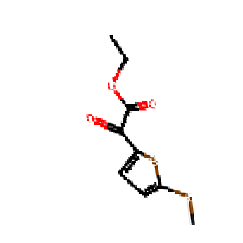 CCOC(=O)C(=O)c1ccc(SC)s1